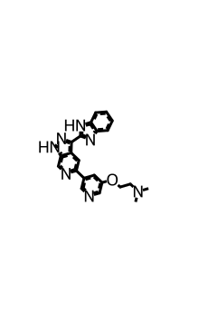 CN(C)CCOc1cncc(-c2cc3c(-c4nc5ccccc5[nH]4)n[nH]c3cn2)c1